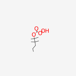 CCCC(C)(C)C(C)(C)OC(=O)OO